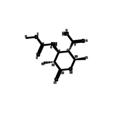 COC(=O)N[C@H]1[C@H](C(=O)O)[C@@H](C)OC(=O)[C@@H]1C